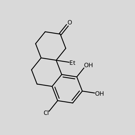 CCC12CC(=O)CCC1CCc1c(Cl)cc(O)c(O)c12